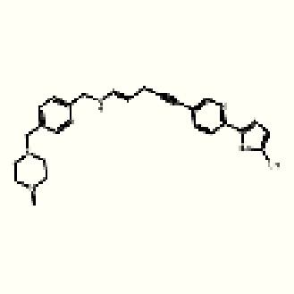 CN1CCN(Cc2ccc(CN/C=C/CC#Cc3ccc(-c4ncc(C#N)[nH]4)nc3)cc2)CC1